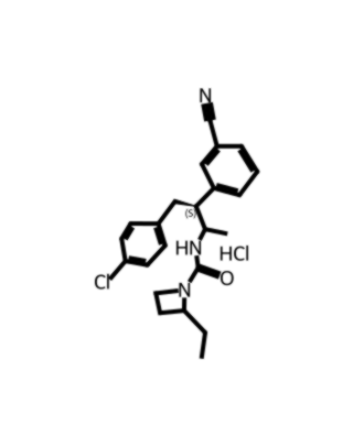 CCC1CCN1C(=O)NC(C)[C@@H](Cc1ccc(Cl)cc1)c1cccc(C#N)c1.Cl